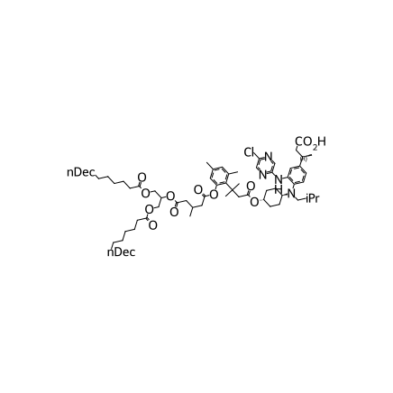 CCCCCCCCCCCCCCCC(=O)OCC(COC(=O)CCCCCCCCCCCCCCC)OC(=O)CC(C)CC(=O)Oc1cc(C)cc(C)c1C(C)(C)CC(=O)O[C@H]1CC[C@H](N(CC(C)C)c2ccc([C@H](C)CC(=O)O)cc2Nc2cnc(Cl)cn2)CC1